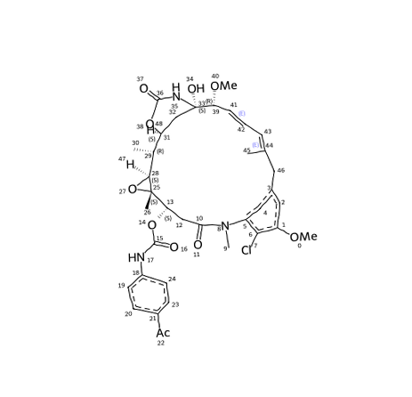 COc1cc2cc(c1Cl)N(C)C(=O)C[C@H](OC(=O)Nc1ccc(C(C)=O)cc1)[C@]1(C)O[C@H]1[C@H](C)[C@@H]1C[C@@](O)(NC(=O)O1)[C@H](OC)/C=C/C=C(\C)C2